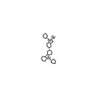 Brc1cc2cc(-c3ccc4c(c3)c3ccccc3n4-c3ccccc3)ccc2n1-c1ccccc1